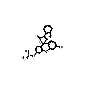 NP(O)Oc1ccc2c(c1)Oc1cc(O)ccc1C21OC(=O)c2c1ccc1ccccc21